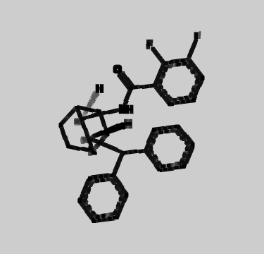 O=C(N[C@@H]1C2CCN(CC2)[C@H]1C(c1ccccc1)c1ccccc1)c1cccc(F)c1F